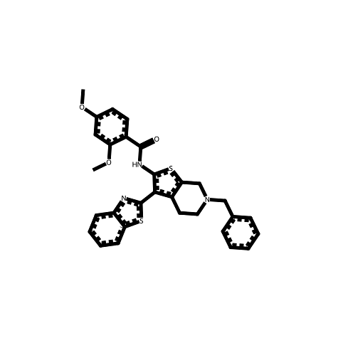 COc1ccc(C(=O)Nc2sc3c(c2-c2nc4ccccc4s2)CCN(Cc2ccccc2)C3)c(OC)c1